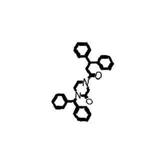 O=C(CC(c1ccccc1)c1ccccc1)N1CCN(C(c2ccccc2)c2ccccc2)C(=O)C1